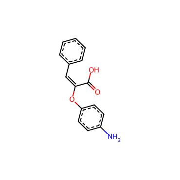 Nc1ccc(OC(=Cc2ccccc2)C(=O)O)cc1